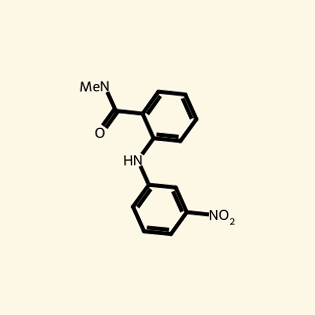 CNC(=O)c1ccccc1Nc1cccc([N+](=O)[O-])c1